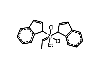 C[CH]=[Zr]([Cl])([Cl])([CH2]C)([CH]1C=Cc2ccccc21)[CH]1C=Cc2ccccc21